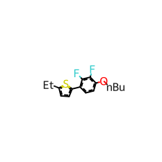 CCCCOc1ccc(-c2ccc(CC)s2)c(F)c1F